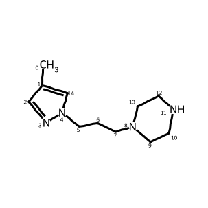 Cc1cnn(CCCN2CCNCC2)c1